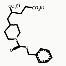 CCOC(=O)CCC(CC1CCN(C(=O)OCc2ccccc2)CC1)C(=O)OCC